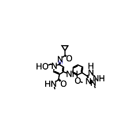 CNC(=O)c1cn(CO)/c(=N/C(=O)C2CC2)cc1Nc1cccc(C2=NN(C)NN2)c1OC